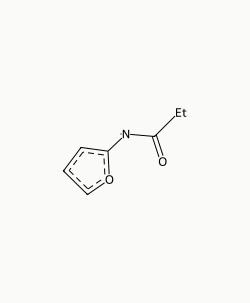 CCC(=O)[N]c1ccco1